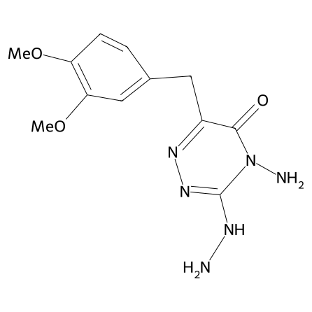 COc1ccc(Cc2nnc(NN)n(N)c2=O)cc1OC